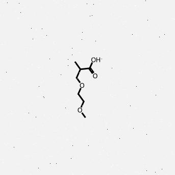 COCCOCC(C)C(=O)O